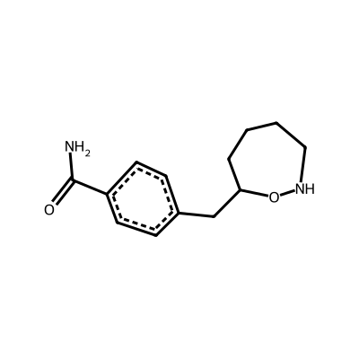 NC(=O)c1ccc(CC2CCCCNO2)cc1